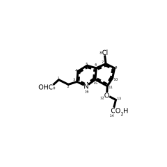 O=CCCc1ccc2c(Cl)ccc(OCC(=O)O)c2n1